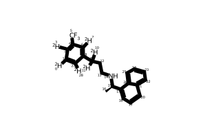 [2H]c1c([2H])c(C(F)(F)F)c([2H])c(C([2H])([2H])CCN[C@H](C)c2cccc3ccccc23)c1[2H]